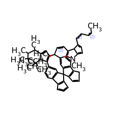 C/C=C\C=C/C1=CC=C2C1C(/C=C\C(CC)c1ccc3c(c1)C1(C4=C(C=C=C4)c4ccc(C5=CC=C(C(C)C(C)C(C)(C)C)C5C(C)(C)C)cc41)C1=C3CC=C1)=CN2C